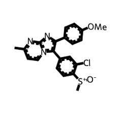 COc1ccc(-c2nc3nc(C)ccn3c2-c2ccc([S+](C)[O-])c(Cl)c2)cc1